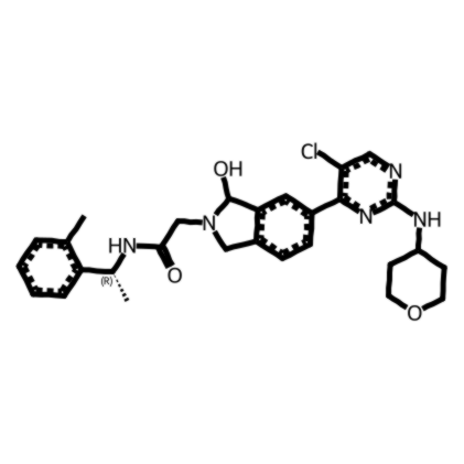 Cc1ccccc1[C@@H](C)NC(=O)CN1Cc2ccc(-c3nc(NC4CCOCC4)ncc3Cl)cc2C1O